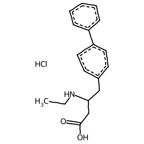 CCNC(CC(=O)O)Cc1ccc(-c2ccccc2)cc1.Cl